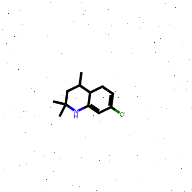 CC1CC(C)(C)NC2=CC(Cl)=CCC21